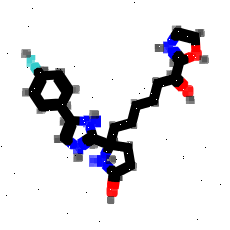 O=C1CCC(CCCCCC(=O)c2ncco2)(c2ncc(-c3ccc(F)cc3)[nH]2)N1